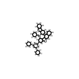 c1ccc(-c2cc(-c3ccccc3)nc(-c3cc(N(c4ccccc4)c4cccc5c4sc4ccccc45)c4c(c3)oc3cc5ccccc5cc34)n2)cc1